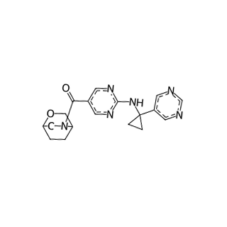 O=C(c1cnc(NC2(c3cncnc3)CC2)nc1)N1CC2CCC1CO2